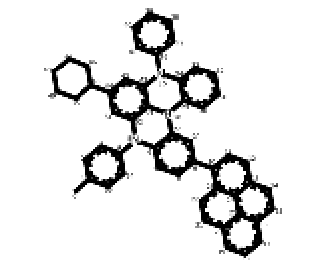 Cc1ccc(N2c3ccc(-c4ccc5ccc6cccc7ccc4c5c67)cc3B3c4ccccc4N(c4ccccc4)c4cc(C5CCCCC5)cc2c43)cc1